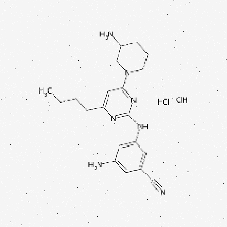 CCCCc1cc(N2CCCC(N)C2)nc(Nc2cc(N)cc(C#N)c2)n1.Cl.Cl